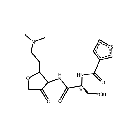 CN(C)CCC1OCC(=O)C1NC(=O)[C@H](CC(C)(C)C)NC(=O)c1ccsc1